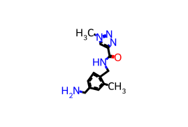 Cc1cc(CN)ccc1CNC(=O)c1cn(C)nn1